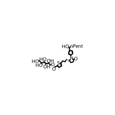 CCCCC[C@H](O)c1ccc(N2C(=O)CC[C@@H]2CCCc2ccc(C(=O)OC[C@@H](O)[C@@H](O)[C@@H](O)[C@H](O)CO)s2)cc1